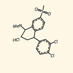 CNC1CCC(c2ccc(Cl)c(Cl)c2)c2ccc(S(C)(=O)=O)cc21.Cl